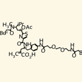 CC[C@H](C)CC(=O)N(C)C(C[C@@H](OC(C)=O)c1nc(C(=O)N[C@@H](Cc2ccc(NC(=O)CCOCCOCCNC(=O)CBr)cc2)C[C@H](C)C(=O)O)cs1)C(C)C